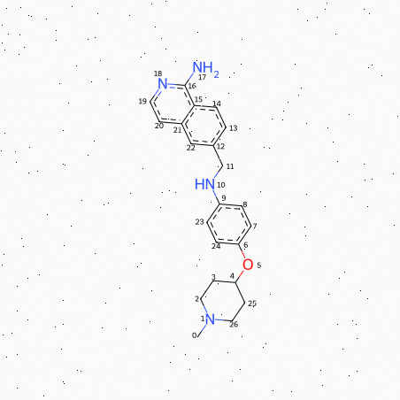 CN1CCC(Oc2ccc(NCc3ccc4c(N)nccc4c3)cc2)CC1